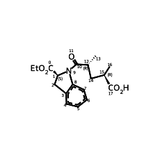 CCOC(=O)[C@@H]1Cc2ccccc2N1C(=O)[C@H](C)C[C@@H](C)C(=O)O